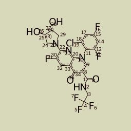 O=C(NCC(F)(F)F)c1cn(-c2c(F)cc(F)cc2Cl)c2nc(N3C[C@@H](O)[C@H](O)C3)c(F)cc2c1=O